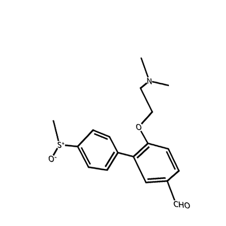 CN(C)CCOc1ccc(C=O)cc1-c1ccc([S+](C)[O-])cc1